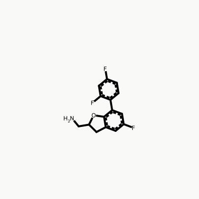 NCC1Cc2cc(F)cc(-c3ccc(F)cc3F)c2O1